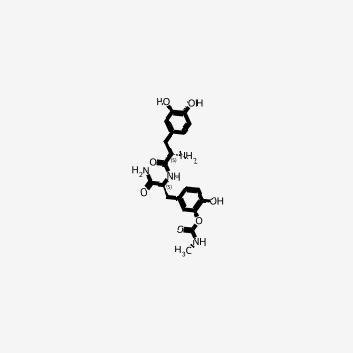 CNC(=O)Oc1cc(C[C@H](NC(=O)[C@@H](N)Cc2ccc(O)c(O)c2)C(N)=O)ccc1O